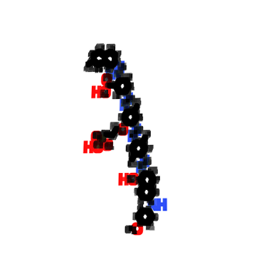 COc1ccc(Nc2ccc3c(O)c(N=Nc4cc(C)c(N=Nc5cc(C)c(N=Nc6ccc(-n7nc8ccc9ccc(C)cc9c8n7)c(C(=O)O)c6)cc5OCCCS(=O)(=O)O)cc4C)ccc3c2)cc1